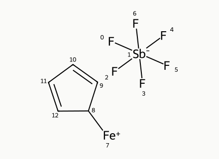 [F][Sb-]([F])([F])([F])([F])[F].[Fe+][CH]1C=CC=C1